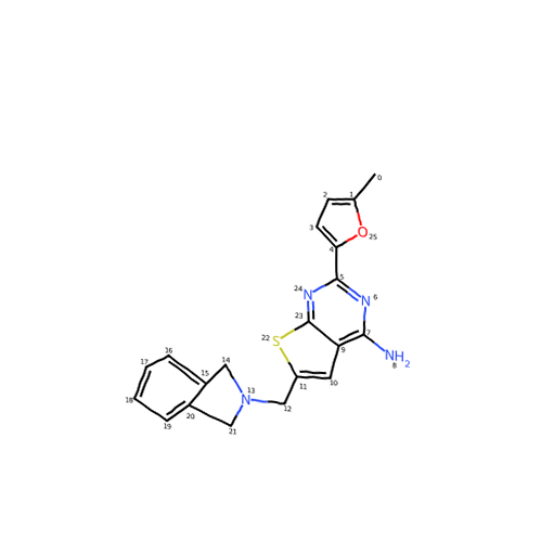 Cc1ccc(-c2nc(N)c3cc(CN4Cc5ccccc5C4)sc3n2)o1